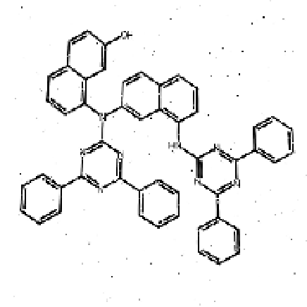 Oc1ccc2cccc(N(c3ccc4cccc(Nc5nc(-c6ccccc6)nc(-c6ccccc6)n5)c4c3)c3nc(-c4ccccc4)nc(-c4ccccc4)n3)c2c1